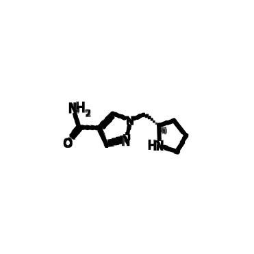 NC(=O)c1cnn(C[C@@H]2CCCN2)c1